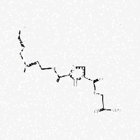 CNC(=O)CNC(=O)c1cnc(C(=O)NC/C=C(\C)C/C=C/C(C)C)[nH]1